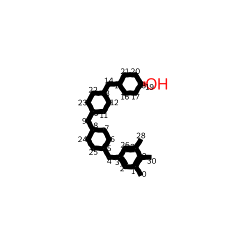 Cc1cc(CC2CCC(CC3CCC(CC4CCC(O)CC4)CC3)CC2)cc(C)c1C